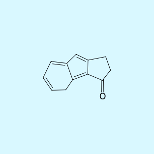 O=C1CCC2=CC3=CC=CCC3=C12